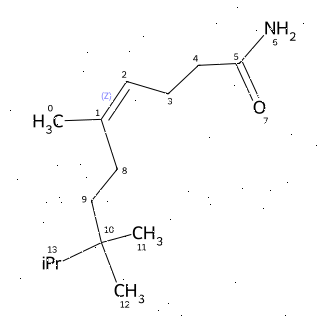 C/C(=C/CCC(N)=O)CCC(C)(C)C(C)C